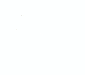 COC(=O)[C@H](CSC)NC(=O)c1cc(Cl)ccc1Cl